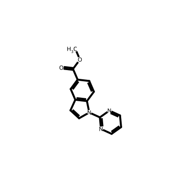 COC(=O)c1ccc2c(ccn2-c2ncccn2)c1